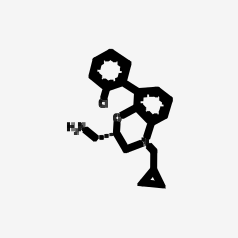 NC[C@H]1CN(CC2CC2)c2cccc(-c3ccccc3Cl)c2O1